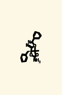 CC(C)(C)[C@@](Cc1ccccc1)(OC(N)=O)c1nnc(-c2ccccc2)o1